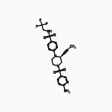 CC#C[C@H]1CN(S(=O)(=O)c2ccc(N)nc2)CCN1c1ccc(S(=O)(=O)NCC(F)(F)F)cc1